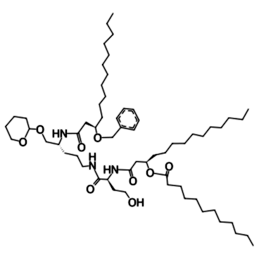 CCCCCCCCCCCC(=O)O[C@H](CCCCCCCCCCC)CC(=O)N[C@@H](CCO)C(=O)NCCC[C@H](COC1CCCCO1)NC(=O)C[C@@H](CCCCCCCCCCC)OCc1ccccc1